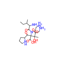 CCC(C)C(N)C(=O)N(C(=O)CN)C(C(=O)O)(C(=O)C1CCCN1)C(C)(O)C(=O)CN